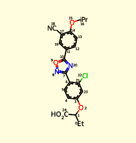 CCC(Oc1ccc(-c2noc(-c3ccc(OC(C)C)c(C#N)c3)n2)c(Cl)c1)C(=O)O